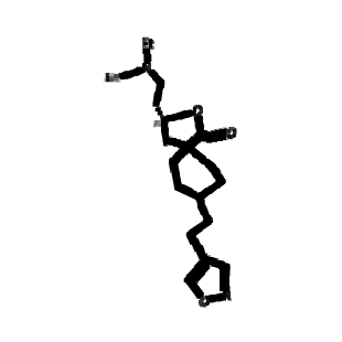 CCN(CC)CC[C@H]1CC2(CCC(CCc3cnoc3)CC2)C(=O)O1